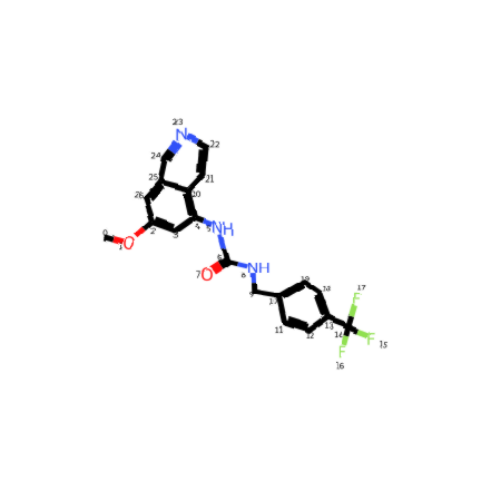 COc1cc(NC(=O)NCc2ccc(C(F)(F)F)cc2)c2ccncc2c1